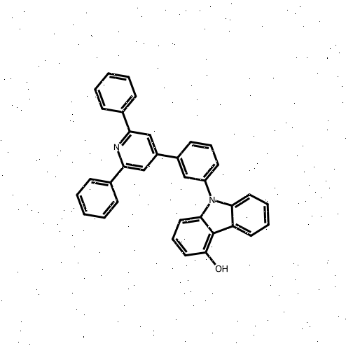 Oc1cccc2c1c1ccccc1n2-c1cccc(-c2cc(-c3ccccc3)nc(-c3ccccc3)c2)c1